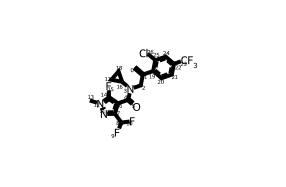 C=C(CN(C(=O)c1c(C(F)F)nn(C)c1F)C1CC1)c1ccc(C(F)(F)F)cc1Cl